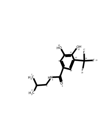 CC(C)CNC(=O)c1cc(O)c(O)c(C(F)(F)F)c1